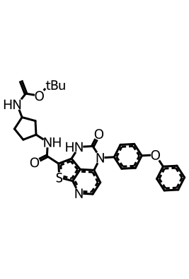 C=C(NC1CCC(NC(=O)c2sc3nccc4c3c2NC(=O)N4c2ccc(Oc3ccccc3)cc2)C1)OC(C)(C)C